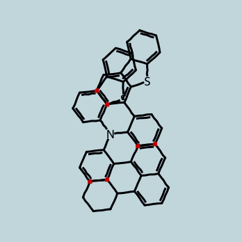 c1ccc(N(c2ccccc2-c2cccc3cccc(C4CCCCC4)c23)c2cccc3c2sc2ccccc23)c(-c2cccc3c2sc2ccccc23)c1